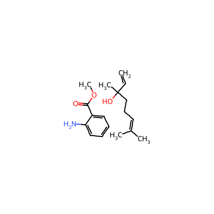 C=CC(C)(O)CCC=C(C)C.COC(=O)c1ccccc1N